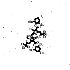 CCC(CC)(CC)C(=O)CC1=N/C(=C\c2c(C(C)C)c(C(=O)OC3C(C(C)(C)C)CC(C)CC3C(C)(C)C)c(CC(=O)C(CC)(CC)CC)n2COC(C)=O)C(C(C)C)=C1C(=O)OC1C(C(C)(C)C)CC(C)CC1C(C)(C)C